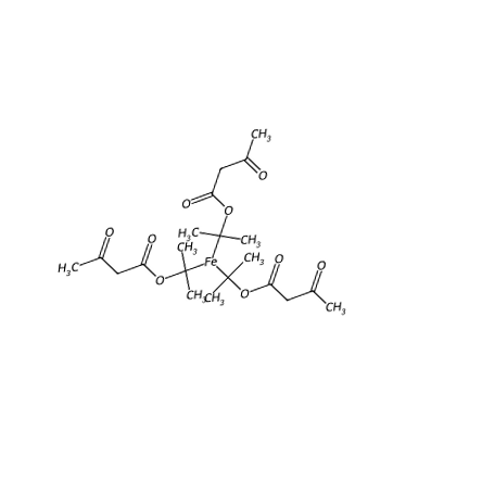 CC(=O)CC(=O)O[C](C)(C)[Fe]([C](C)(C)OC(=O)CC(C)=O)[C](C)(C)OC(=O)CC(C)=O